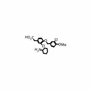 COc1ccc(COc2ccc(CC(=O)O)cc2Cl)cc1Cl.NC1CCCCC1